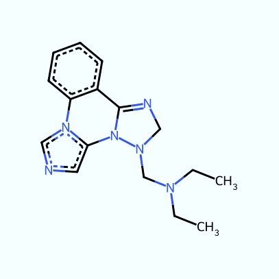 CCN(CC)CN1CN=C2c3ccccc3-n3cncc3N21